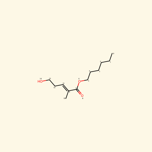 CCCCCCOC(=O)C(C)=CCCO